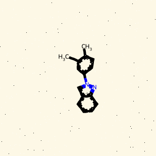 Cc1ccc(-n2cc3ccccc3n2)cc1C